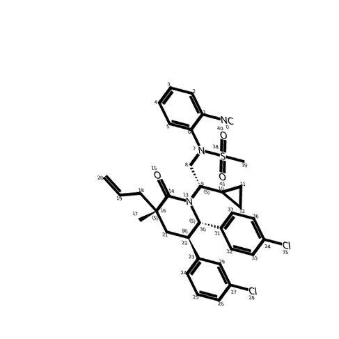 [C-]#[N+]c1ccccc1N(C[C@H](C1CC1)N1C(=O)[C@@](C)(CC=C)C[C@H](c2cccc(Cl)c2)[C@H]1c1ccc(Cl)cc1)S(C)(=O)=O